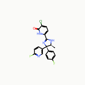 C[C@@H]1NC(c2ccc(Cl)c(=O)[nH]2)=N[C@@]1(c1ccc(F)cc1)c1ccc(F)nc1